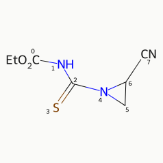 CCOC(=O)NC(=S)N1CC1C#N